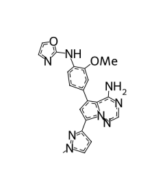 COc1cc(-c2cc(-c3ccn(C)n3)n3ncnc(N)c23)ccc1Nc1ncco1